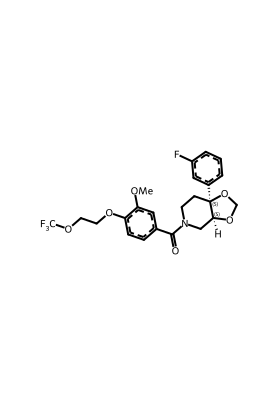 COc1cc(C(=O)N2CC[C@@]3(c4cccc(F)c4)OCO[C@H]3C2)ccc1OCCOC(F)(F)F